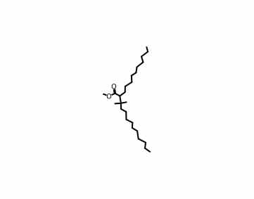 CCCCCCCCCCC(C(=O)OC)C(C)(C)CCCCCCCCCC